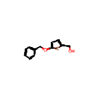 OCc1ccc(OCc2ccccc2)s1